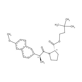 COc1ccc2cc([C@H](C)C(=O)N3CCC[C@H]3C(=O)OCCC(C)(C)C)ccc2c1